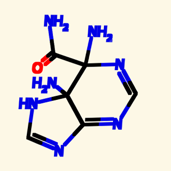 NC(=O)C1(N)N=CN=C2N=CNC21N